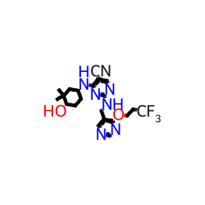 CC1(C)C[C@H](Nc2nc(NCc3cncnc3OCCC(F)(F)F)ncc2C#N)CC[C@@H]1O